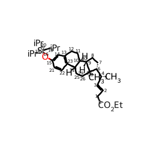 CCOC(=O)C/C=C/[C@@H](C)[C@H]1CC[C@H]2[C@@H]3CCc4cc(O[Si](C(C)C)(C(C)C)C(C)C)ccc4[C@H]3CC[C@]12C